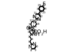 O=C(O)N[C@@H](CCCc1ncccn1)CS(=O)(=O)N1CCN(c2ncc(-c3ccc(F)cc3)cn2)CC1